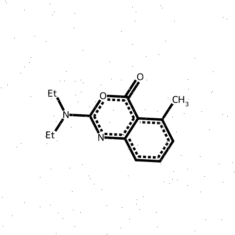 CCN(CC)c1nc2cccc(C)c2c(=O)o1